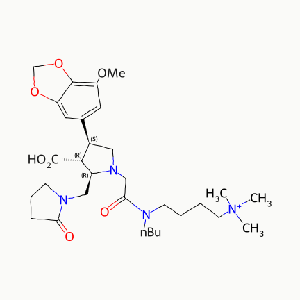 CCCCN(CCCC[N+](C)(C)C)C(=O)CN1C[C@H](c2cc(OC)c3c(c2)OCO3)[C@@H](C(=O)O)[C@@H]1CN1CCCC1=O